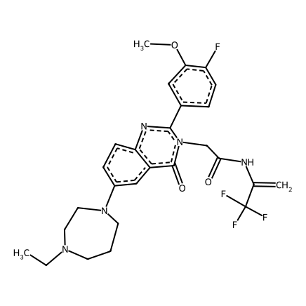 C=C(NC(=O)Cn1c(-c2ccc(F)c(OC)c2)nc2ccc(N3CCCN(CC)CC3)cc2c1=O)C(F)(F)F